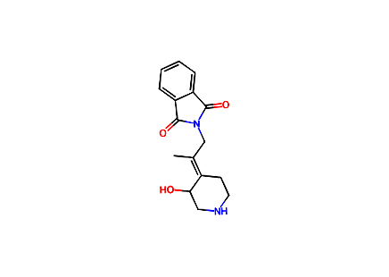 CC(CN1C(=O)c2ccccc2C1=O)=C1CCNCC1O